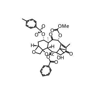 COC(=O)O[C@H]1C(=O)[C@]2(C)[C@@H](OS(=O)(=O)c3ccc(C)cc3)C[C@H]3OC[C@@]3(OC(C)=O)[C@H]2[C@H](OC(=O)c2ccccc2)[C@]2(O)CC(=O)C(C)=C1C2(C)C